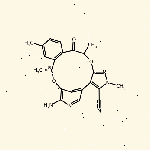 Cc1ccc2c(c1)[C@@H](C)Oc1cc(cnc1N)-c1c(nn(C)c1C#N)OC(C)C2=O